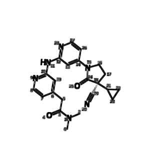 CN(C)C(=O)Cc1ccnc(Nc2cc(N3CC[C@@](C#N)(C4CC4)C3=O)ccn2)c1